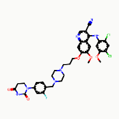 COc1cc(Nc2c(C#N)cnc3cc(OCCCN4CCN(Cc5ccc(N6CCC(=O)NC6=O)cc5F)CC4)c(OC)cc23)c(Cl)cc1Cl